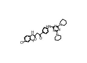 O=C(CC(=O)c1ccc(Nc2nc(N3CCCCC3)nc(N3CCCCC3)n2)cc1)Nc1ccc(Cl)cc1F